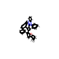 c1ccc(-c2ccccc2-c2cc(-c3cccc4c3oc3ccccc34)ccc2-c2nc3ccccc3n2-c2ccccc2)cc1